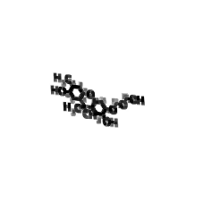 Cc1cc2c(cc1O)C(C)(C)c1cc(O)c(OCOCO)cc1O2